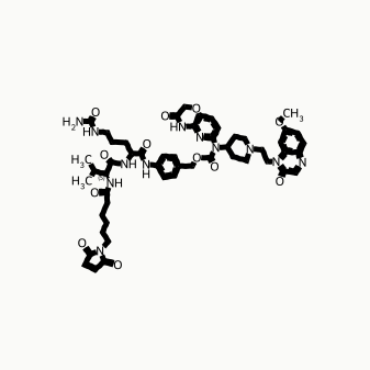 COc1ccc2ncc(=O)n(CCN3CCC(N(C(=O)OCc4ccc(NC(=O)C(CCCNC(N)=O)NC(=O)[C@@H](NC(=O)CCCCCN5C(=O)C=CC5=O)C(C)C)cc4)c4ccc5c(n4)NC(=O)CO5)CC3)c2c1